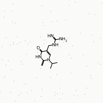 C=C1NC(=O)C(CNC(=N)N)=CN1C(C)C